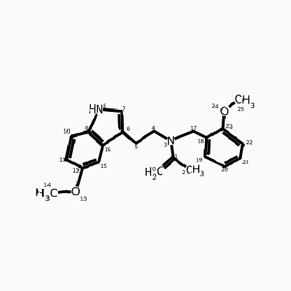 C=C(C)N(CCc1c[nH]c2ccc(OC)cc12)Cc1ccccc1OC